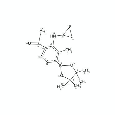 Cc1c(B2OC(C)(C)C(C)(C)O2)ccc(C(=O)O)c1NC1CC1